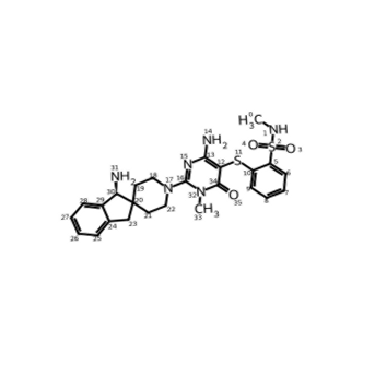 CNS(=O)(=O)c1ccccc1Sc1c(N)nc(N2CCC3(CC2)Cc2ccccc2[C@H]3N)n(C)c1=O